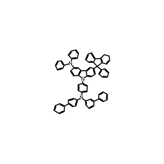 C1=CC2=C(CC1)c1ccccc1C2(c1ccccc1)c1ccc2c(c1)c1cc(N(c3ccccc3)c3ccccc3)ccc1n2-c1ccc(N(c2ccc(-c3ccccc3)cc2)c2cccc(-c3ccccc3)c2)cc1